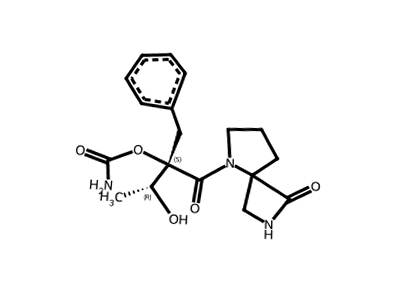 C[C@@H](O)[C@](Cc1ccccc1)(OC(N)=O)C(=O)N1CCCC12CNC2=O